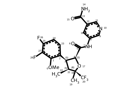 COc1c([C@H]2[C@@H](C(=O)Nc3cncc(C(N)=O)c3)O[C@@](C)(C(F)(F)F)[C@H]2C)ccc(F)c1F